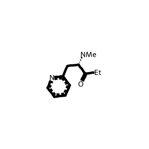 CCC(=O)[C@H](Cc1ccccn1)NC